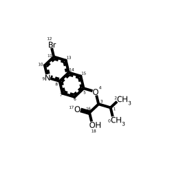 CC(C)C(Oc1ccc2ncc(Br)cc2c1)C(=O)O